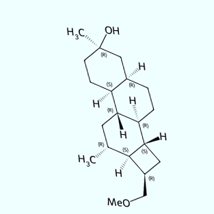 COC[C@@H]1C[C@H]2[C@@H]3CC[C@@H]4C[C@](C)(O)CC[C@@H]4[C@H]3C[C@@H](C)[C@H]12